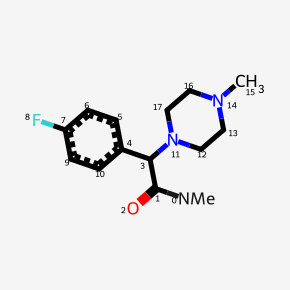 CNC(=O)C(c1ccc(F)cc1)N1CCN(C)CC1